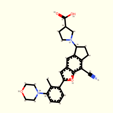 Cc1c(-c2cc3cc4c(c(C#N)c3o2)CCC4N2CCC(C(=O)O)C2)cccc1N1CCOCC1